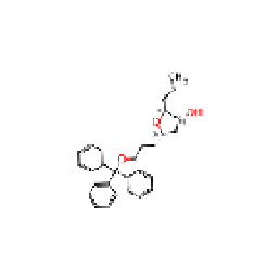 C=CC[C@@H]1O[C@@H](CCCOC(c2ccccc2)(c2ccccc2)c2ccccc2)C[C@H]1O